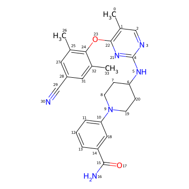 Cc1cnc(NC2CCN(c3cccc(C(N)=O)c3)CC2)nc1Oc1c(C)cc(C#N)cc1C